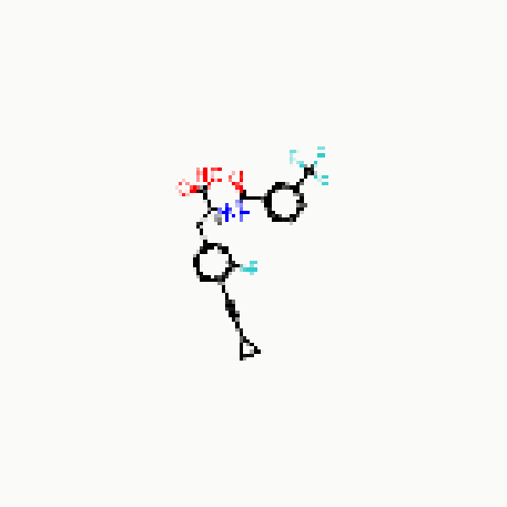 O=C(N[C@@H](Cc1ccc(C#CC2CC2)c(F)c1)C(=O)O)c1cccc(C(F)(F)F)c1